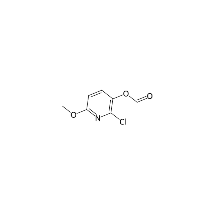 COc1ccc(OC=O)c(Cl)n1